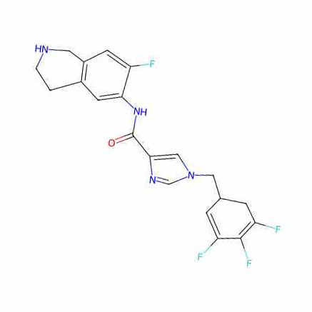 O=C(Nc1cc2c(cc1F)CNCC2)c1cn(CC2C=C(F)C(F)=C(F)C2)cn1